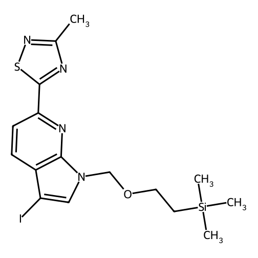 Cc1nsc(-c2ccc3c(I)cn(COCC[Si](C)(C)C)c3n2)n1